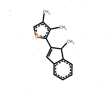 C[C]1C(c2scc(C)c2C)=Cc2ccccc21